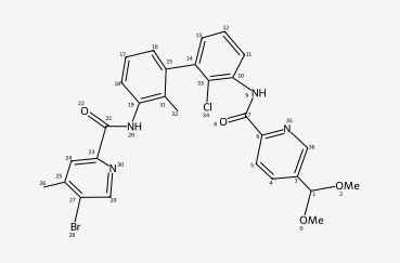 COC(OC)c1ccc(C(=O)Nc2cccc(-c3cccc(NC(=O)c4cc(C)c(Br)cn4)c3C)c2Cl)nc1